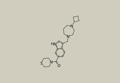 O=C(c1ccc2c(CN3CCCN(C4CCC4)CC3)c[nH]c2c1)N1CCSCC1